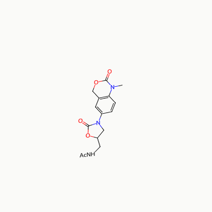 CC(=O)NCC1CN(c2ccc3c(c2)COC(=O)N3C)C(=O)O1